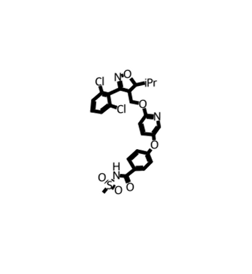 CC(C)C1ON=C(c2c(Cl)cccc2Cl)C1COc1ccc(Oc2ccc(C(=O)NS(C)(=O)=O)cc2)cn1